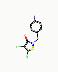 O=c1c(Cl)c(Cl)sn1Cc1ccc(I)cc1